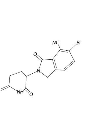 N#Cc1c(Br)ccc2c1C(=O)N(C1CCC(=O)NC1=O)C2